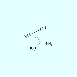 CCC(N)C(=O)O.N#CC#N